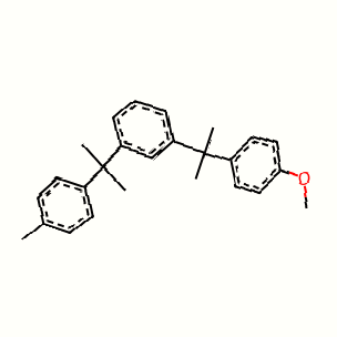 COc1ccc(C(C)(C)c2cccc(C(C)(C)c3ccc(C)cc3)c2)cc1